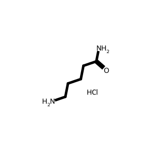 Cl.NCCCCC(N)=O